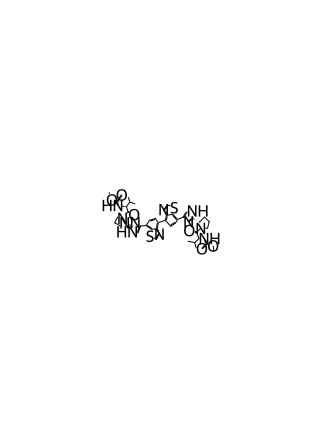 COC(=O)NC(C(=O)N1CCC[C@H]1c1nc(-c2ccc(-c3ccc(-c4c[nH]c(N5CCCN5C(=O)[C@@H](NC(=O)OC)C(C)C)n4)c4scnc34)c3ncsc23)c[nH]1)C(C)C